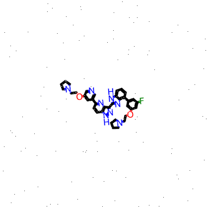 Fc1cc(OCCN2CCCC2)cc(-c2cccc3[nH]c(-c4n[nH]c5ccc(-c6cncc(OCCN7CCCC7)c6)nc45)nc23)c1